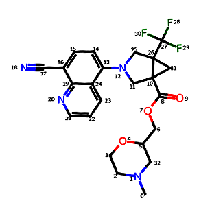 CN1CCOC(COC(=O)C23CN(c4ccc(C#N)c5ncccc45)CC2(C(F)(F)F)C3)C1